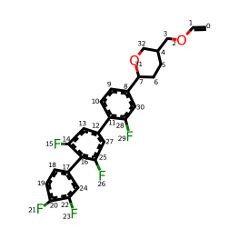 C=COCC1CCC(c2ccc(-c3cc(F)c(-c4ccc(F)c(F)c4)c(F)c3)c(F)c2)OC1